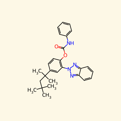 CC(C)(C)CC(C)(C)c1ccc(OC(=O)Nc2ccccc2)c(-n2nc3ccccc3n2)c1